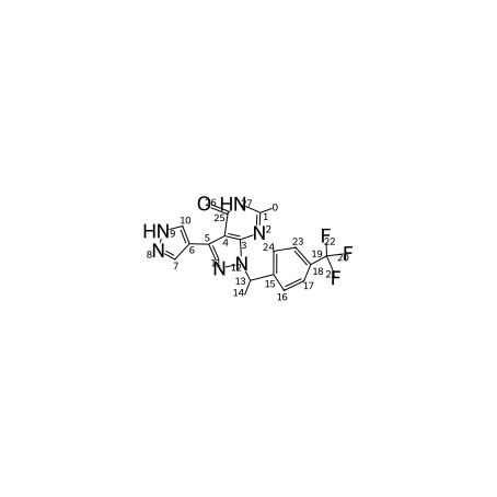 Cc1nc2c(c(-c3cn[nH]c3)nn2C(C)c2ccc(C(F)(F)F)cc2)c(=O)[nH]1